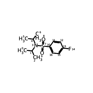 CC(C)N(C(C)C)S(=O)(=O)c1ccc(F)cc1